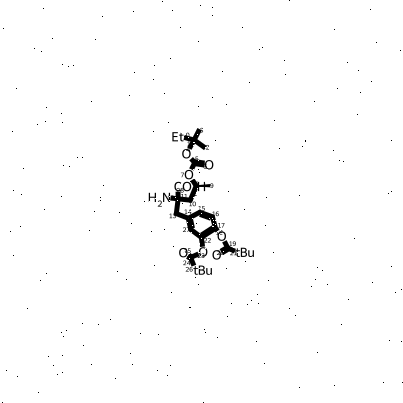 CCC(C)(C)OC(=O)O[C@@H](C)CC(N)(Cc1ccc(OC(=O)C(C)(C)C)c(OC(=O)C(C)(C)C)c1)C(=O)O